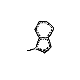 Cn1[c]cc2ccccc21